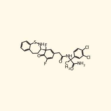 C[C@](NC(=O)CC1=CC(F)([C@H]2CCc3ccccc3SN2)C(=O)C(F)=C1)(C(N)=O)c1ccc(Cl)c(Cl)c1